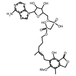 COc1c(C)c2c(c(O)c1C/C=C(\C)CCCOP(=O)(O)CP(=O)(O)OCC1OC(n3cnc4c(N)ncnc43)C(O)C1O)C(=O)OC2